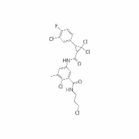 Cc1cc(NC(=O)C2C(c3ccc(F)c(Cl)c3)C2(Cl)Cl)cc(C(=O)NCCCCl)c1Cl